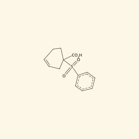 O=C(O)C1(S(=O)(=O)c2ccccc2)CC=CCC1